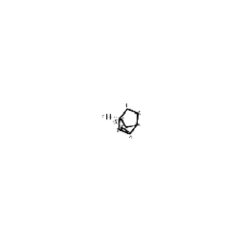 [CH]1C[C@@H]2C=CC1C2